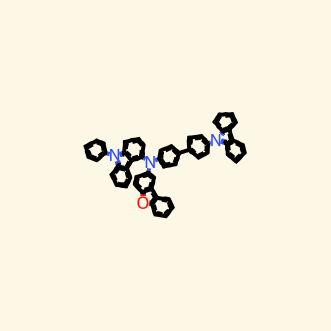 c1ccc(-n2c3ccccc3c3c(N(c4ccc(-c5ccc(-n6c7ccccc7c7ccccc76)cc5)cc4)c4ccc5oc6ccccc6c5c4)cccc32)cc1